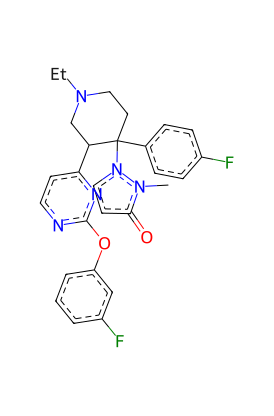 CCN1CCC(c2ccc(F)cc2)(n2ccc(=O)n2C)C(c2ccnc(Oc3cccc(F)c3)n2)C1